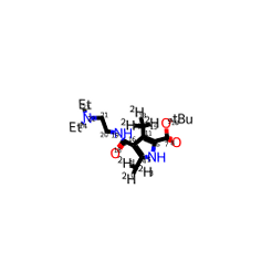 [2H]C([2H])([2H])c1[nH]c(C(=O)OC(C)(C)C)c(C([2H])([2H])[2H])c1C(=O)NCCN(CC)CC